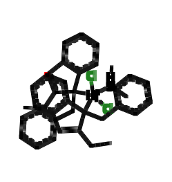 CCC1=Cc2ccccc2[C]1(Cc1ccccc1)[Hf]([Cl])([Cl])([SiH](C)C)[C]1(Cc2ccccc2)C(CC)=Cc2ccccc21